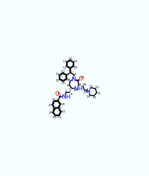 O=C(NCC[C@@H]1CCN(CC(c2ccccc2)c2ccccc2)C(=O)[C@H](CCN2CCCCC2)N1)c1ccc2ccccc2c1